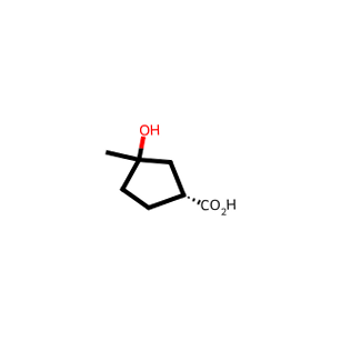 CC1(O)CC[C@@H](C(=O)O)C1